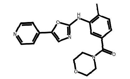 Cc1ccc(C(=O)N2CCOCC2)cc1Nc1ncc(-c2ccncc2)o1